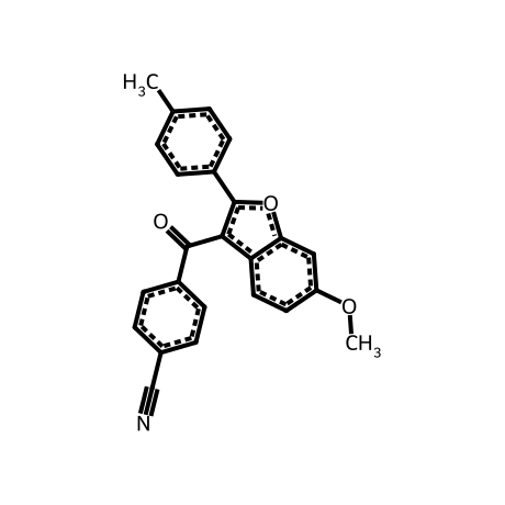 COc1ccc2c(C(=O)c3ccc(C#N)cc3)c(-c3ccc(C)cc3)oc2c1